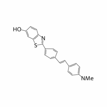 CNc1ccc(/C=C/c2ccc(-c3nc4ccc(O)cc4s3)cc2)cc1